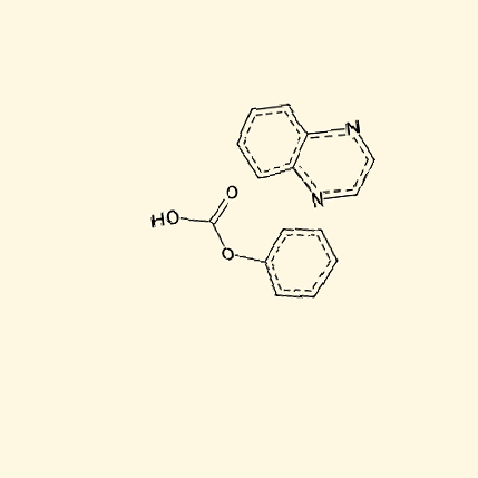 O=C(O)Oc1ccccc1.c1ccc2nccnc2c1